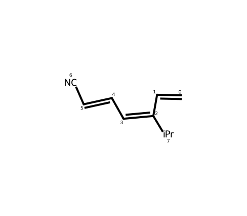 C=C/C(=C\C=C\C#N)C(C)C